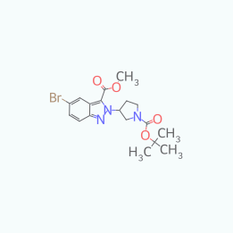 COC(=O)c1c2cc(Br)ccc2nn1C1CCN(C(=O)OC(C)(C)C)C1